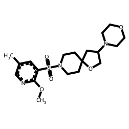 COc1ncc(C)cc1S(=O)(=O)N1CCC2(CC1)CC(N1CCOCC1)CO2